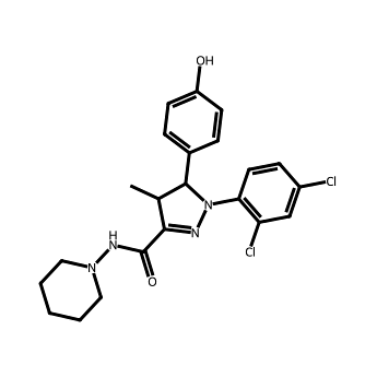 CC1C(C(=O)NN2CCCCC2)=NN(c2ccc(Cl)cc2Cl)C1c1ccc(O)cc1